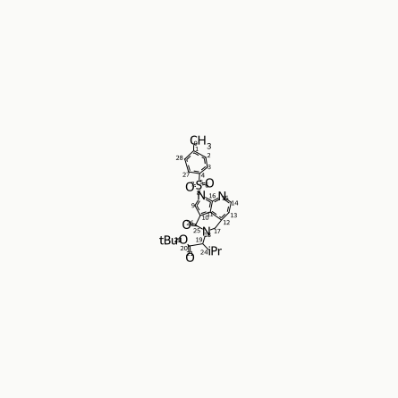 Cc1ccc(S(=O)(=O)n2cc3c4c(ccnc42)CN(C(C(=O)OC(C)(C)C)C(C)C)C3=O)cc1